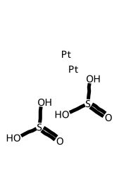 O=S(O)O.O=S(O)O.[Pt].[Pt]